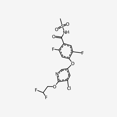 CS(=O)(=O)NC(=O)c1cc(F)c(Oc2cnc(OCC(F)F)c(Cl)c2)cc1F